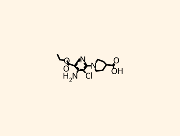 CCOC(=O)c1cnc(N2CCC(C(=O)O)CC2)c(Cl)c1N